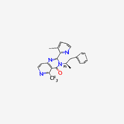 Cc1cccnc1-c1nc2ccnc(C(F)(F)F)c2c(=O)n1[C@H](C)Cc1ccccc1